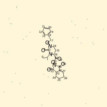 CCN1C(=O)N(OCc2ccccc2)CC[C@H]1C(=O)ON1C(=O)C2CCCCC2C1=O